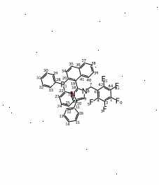 Fc1c(F)c(F)c(Cn2cc(-c3ccccc3)nc2-c2c(P(c3ccccc3)c3ccccc3)ccc3ccccc23)c(F)c1F